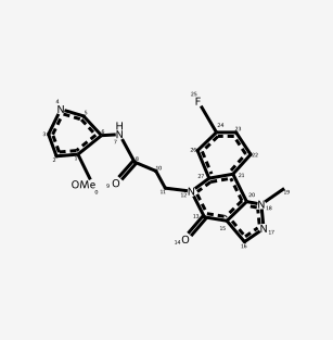 COc1ccncc1NC(=O)CCn1c(=O)c2cnn(C)c2c2ccc(F)cc21